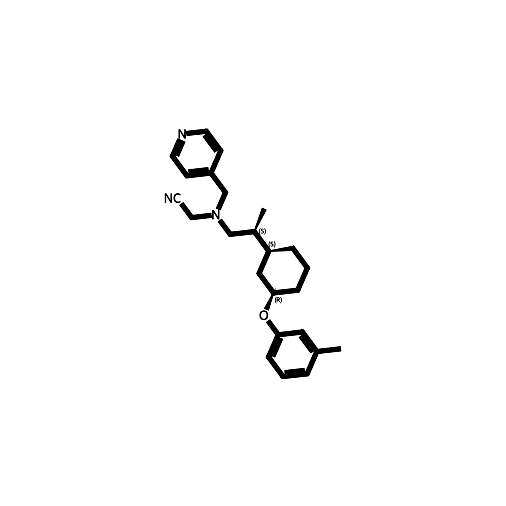 Cc1cccc(O[C@@H]2CCC[C@H]([C@H](C)CN(CC#N)Cc3ccncc3)C2)c1